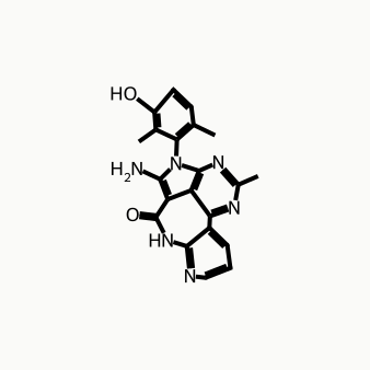 Cc1nc2c3c(c(N)n(-c4c(C)ccc(O)c4C)c3n1)C(=O)Nc1ncccc1-2